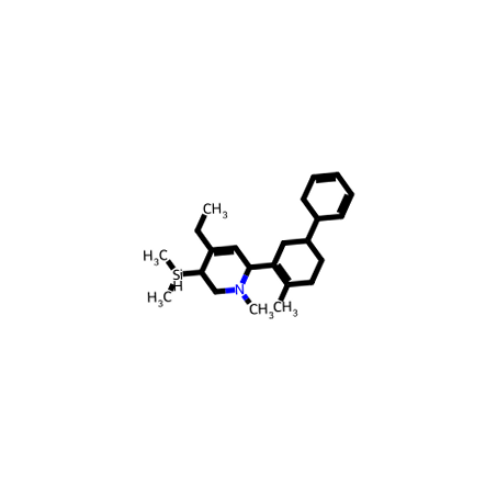 CCC1=CC(C2=C(C)CCC(C3C=CC=CC3)C2)N(C)CC1[SiH](C)C